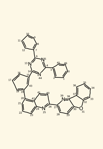 c1ccc(-c2nc(-c3ccccc3)nc(-c3cccc(-c4cccc5nc(-c6ccc7oc8ccccc8c7n6)ccc45)c3)n2)cc1